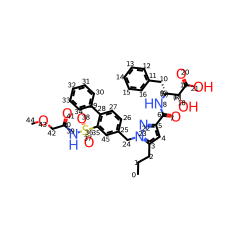 CCCc1cc(C(=O)N[C@H](Cc2ccccc2)[C@@H](O)C(=O)O)nn1Cc1ccc(-c2ccccc2)c(S(=O)(=O)NC(=O)COC)c1